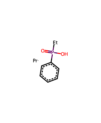 CCP(=O)(O)c1ccccc1.[Pr]